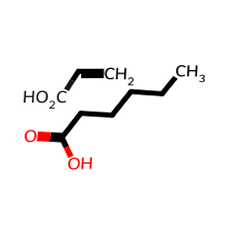 C=CC(=O)O.CCCCCC(=O)O